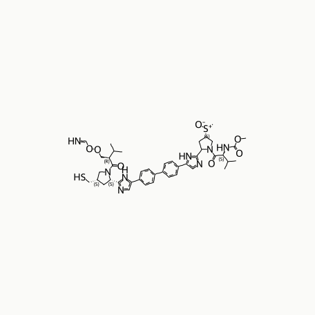 COC(=O)N[C@H](C(=O)N1C[C@@H]([S+](C)[O-])CC1c1ncc(-c2ccc(-c3ccc(-c4cnc([C@@H]5C[C@H](CS)CN5C(=O)[C@@H](COOC=N)C(C)C)[nH]4)cc3)cc2)[nH]1)C(C)C